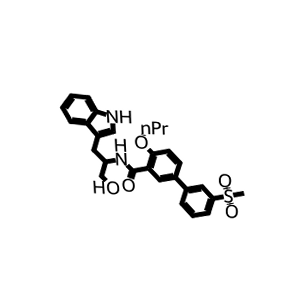 CCCOc1ccc(-c2cccc(S(C)(=O)=O)c2)cc1C(=O)NC(CO)Cc1c[nH]c2ccccc12